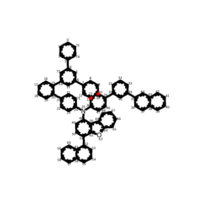 c1ccc(-c2cc(-c3ccccc3)cc(-c3ccccc3-c3ccc(N(c4ccc(-c5cccc(-c6ccc7ccccc7c6)c5)cc4)c4ccc(-c5cccc6ccccc56)c5oc6ccccc6c45)cc3)c2)cc1